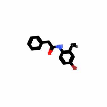 Cc1cc(Br)ccc1NC(=O)Cc1ccccc1